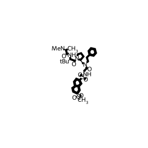 CN[C@@H](C)C(=O)N[C@H](C(=O)N1CCC[C@H]1CN(CCc1ccccc1)C(=O)CNS(=O)(=O)c1ccc2ccc(S(C)(=O)=O)cc2c1)C(C)(C)C